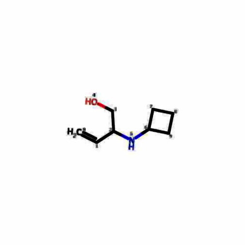 C=CC(CO)NC1CCC1